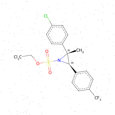 C[C@@]1(c2ccc(Cl)cc2)[C@@H](c2ccc(C(F)(F)F)cc2)N1S(=O)(=O)OCC(Cl)(Cl)Cl